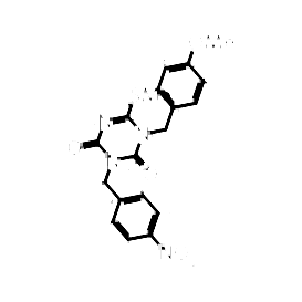 COc1ccc(Cn2c(SC)nc(=O)n(Cc3ccc([N+](=O)[O-])cc3)c2=O)cc1